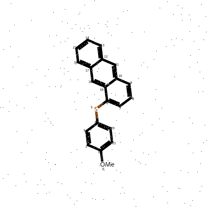 COc1ccc(Sc2cccc3cc4ccccc4cc23)cc1